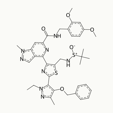 CCn1nc(C)c(OCc2ccccc2)c1-c1nc(-c2nc(C(=O)NCc3ccc(OC)cc3OC)cc3c2cnn3C)c(CN[S+]([O-])C(C)(C)C)s1